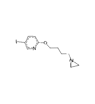 Ic1ccc(OCCCCN2CC2)nc1